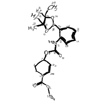 CC(C)(C)OC(=O)N1CCC(OC(=O)Nc2ccccc2B2OC(C)(C)C(C)(C)O2)CC1